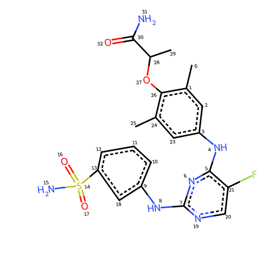 Cc1cc(Nc2nc(Nc3cccc(S(N)(=O)=O)c3)ncc2F)cc(C)c1OC(C)C(N)=O